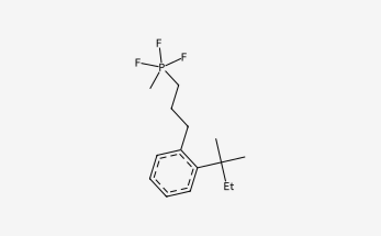 CCC(C)(C)c1ccccc1CCCP(C)(F)(F)F